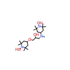 CN(CC(O)COC1CC(C)(C)N(O)C(C)(C)C1)C1CC(C)(C)N(O)C(C)(C)C1